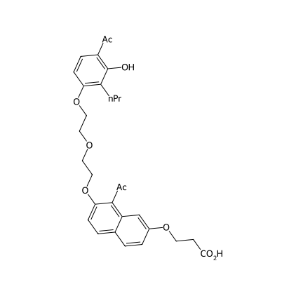 CCCc1c(OCCOCCOc2ccc3ccc(OCCC(=O)O)cc3c2C(C)=O)ccc(C(C)=O)c1O